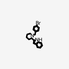 Brc1ccc(CN2CCCCC2c2cc3ccccc3[nH]2)cc1